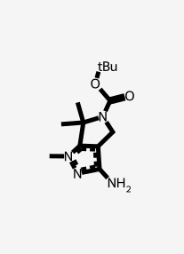 Cn1nc(N)c2c1C(C)(C)N(C(=O)OC(C)(C)C)C2